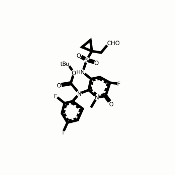 Cn1c(N(C(=O)OC(C)(C)C)c2ccc(I)cc2F)c(NS(=O)(=O)C2(CC=O)CC2)cc(F)c1=O